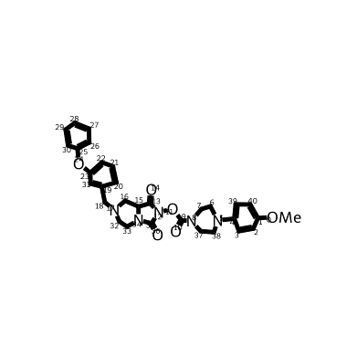 COc1ccc(N2CCN(C(=O)ON3C(=O)C4CN(Cc5cccc(Oc6ccccc6)c5)CCN4C3=O)CC2)cc1